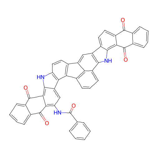 O=C(Nc1cc2c([nH]c3ccc4c(c32)-c2cccc3c2c-4cc2c4ccc5c(c4[nH]c32)C(=O)c2ccccc2C5=O)c2c1C(=O)c1ccccc1C2=O)c1ccccc1